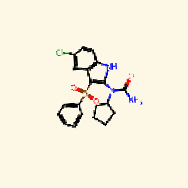 NC(=O)N(c1[nH]c2ccc(Cl)cc2c1S(=O)(=O)c1ccccc1)C1CCCC1